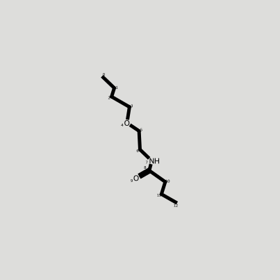 CCCCOCCNC(=O)CCC